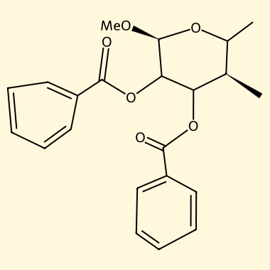 CO[C@H]1OC(C)[C@@H](C)C(OC(=O)c2ccccc2)C1OC(=O)c1ccccc1